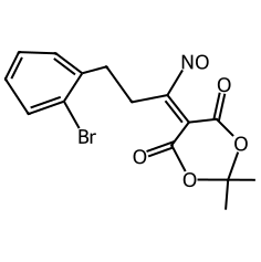 CC1(C)OC(=O)C(=C(CCc2ccccc2Br)N=O)C(=O)O1